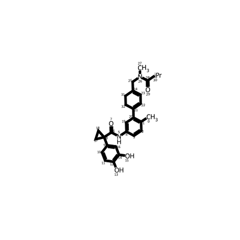 Cc1ccc(NC(=O)C2(c3ccc(O)c(O)c3)CC2)cc1C1=CC=C(CN(C)C(=O)C(C)C)CC1